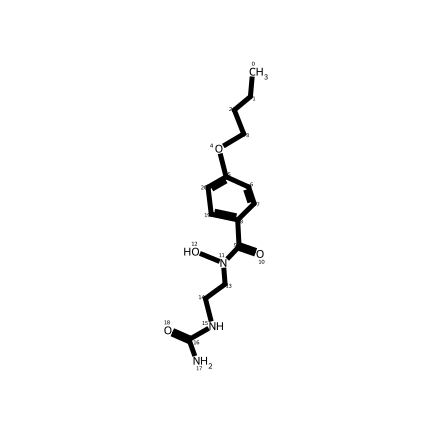 CCCCOc1ccc(C(=O)N(O)CCNC(N)=O)cc1